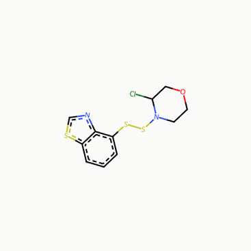 ClC1COCCN1SSc1cccc2scnc12